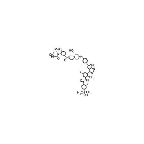 COc1ccc(C(=O)N2CCC3(CCN(Cc4ccc(-c5cc6c(-c7cc(F)cc(NC(=O)c8ccc(C(C)(C)O)cc8F)c7C)ncnc6[nH]5)cc4)CC3)[C@@H](CO)C2)cc1N1CCC(=O)NC1=O